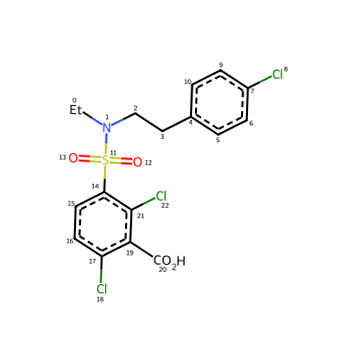 CCN(CCc1ccc(Cl)cc1)S(=O)(=O)c1ccc(Cl)c(C(=O)O)c1Cl